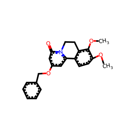 COc1ccc2c(c1OC)CCn1c-2cc(OCc2ccccc2)cc1=O